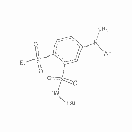 CCS(=O)(=O)c1ccc(N(C)C(C)=O)cc1S(=O)(=O)NC(C)(C)C